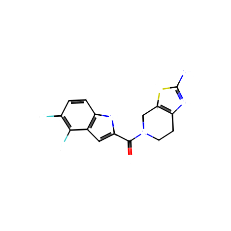 Nc1nc2c(s1)CN(C(=O)c1cc3c(F)c(F)ccc3[nH]1)CC2